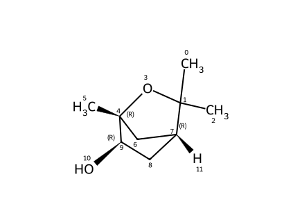 CC1(C)O[C@]2(C)C[C@H]1C[C@H]2O